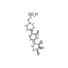 O=C(O)CCC1CCN(c2ccc(C3CCC(=O)NC3=O)cc2F)CC1